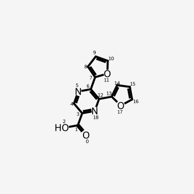 O=C(O)c1cnc(-c2ccco2)c(-c2ccco2)n1